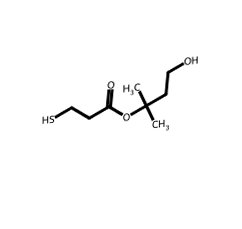 CC(C)(CCO)OC(=O)CCS